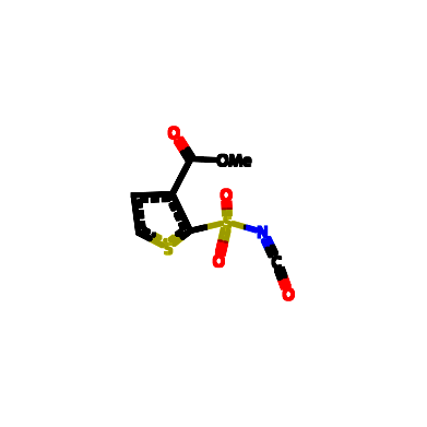 COC(=O)c1ccsc1S(=O)(=O)N=C=O